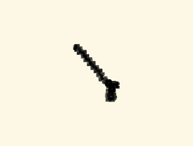 CCC(COCCCCCCCCCCCCCCCCCCF)OCc1ccccc1